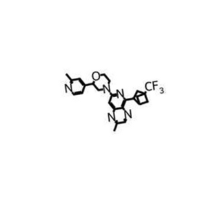 Cc1cc(C2CN(c3cc4nc(C)cnc4c(C4CC5(C(F)(F)F)CC4C5)n3)CCO2)ccn1